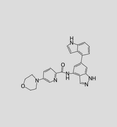 O=C(Nc1cc(-c2cccc3[nH]ccc23)cc2[nH]ncc12)c1ccc(N2CCOCC2)cn1